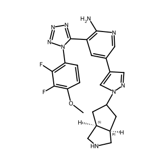 COc1ccc(-n2nnnc2-c2cc(-c3cnn(C4C[C@H]5CNC[C@H]5C4)c3)cnc2N)c(F)c1F